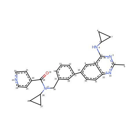 Cc1nc(NC2CC2)c2cc(-c3cccc(CN(C(=O)c4ccncc4)C4CC4)c3)ccc2n1